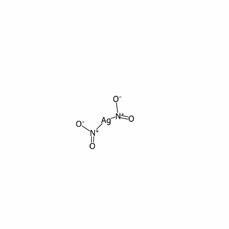 O=[N+]([O-])[Ag][N+](=O)[O-]